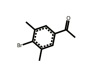 CC(=O)c1cc(C)c(Br)c(C)c1